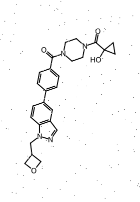 O=C(c1ccc(-c2ccc3c(cnn3CC3COC3)c2)cc1)N1CCN(C(=O)C2(O)CC2)CC1